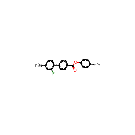 CCCCc1ccc(-c2ccc(C(=O)Oc3ccc(CCC)cc3)cc2)c(F)c1